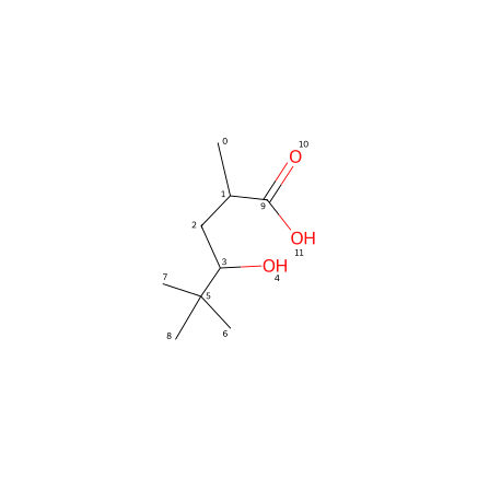 CC(CC(O)C(C)(C)C)C(=O)O